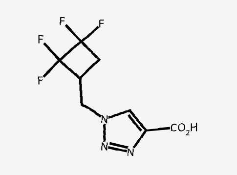 O=C(O)c1cn(CC2CC(F)(F)C2(F)F)nn1